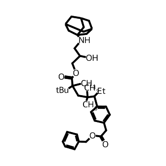 CCC(c1ccc(CC(=O)OCc2ccccc2)cc1)C(C)(C)CC(C)(C(=O)OCC(O)CNC12CC3CC(CC(C3)C1)C2)C(C)(C)C